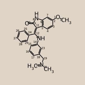 COc1ccc2c(c1)NC(=O)C2=C(Nc1cccc(CN(C)C)c1)c1ccccc1